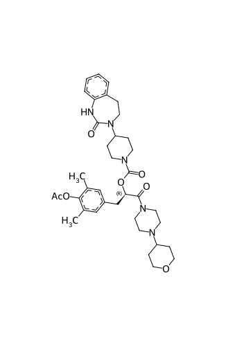 CC(=O)Oc1c(C)cc(C[C@@H](OC(=O)N2CCC(N3CCc4ccccc4NC3=O)CC2)C(=O)N2CCN(C3CCOCC3)CC2)cc1C